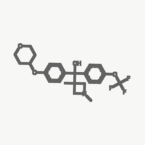 CN1CC(C)(C(O)(c2ccc(OC3CCOCC3)cc2)c2ccc(OC(F)(F)F)cc2)C1